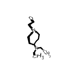 CCN(CC)C1CCN(CC=O)CC1